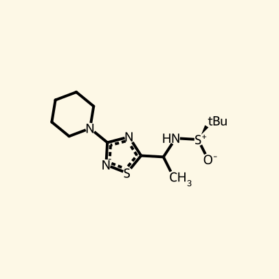 CC(N[S@+]([O-])C(C)(C)C)c1nc(N2CCCCC2)ns1